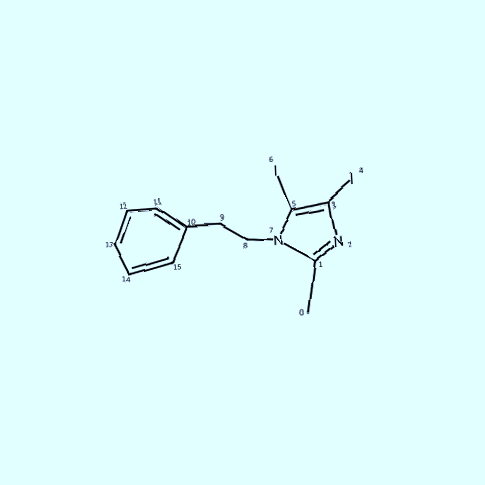 Cc1nc(I)c(I)n1CCc1ccccc1